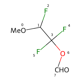 COC(F)C(F)(F)OC=O